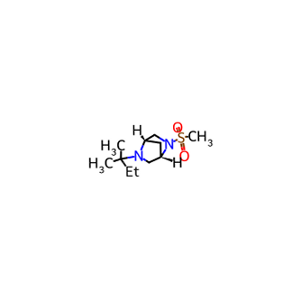 CCC(C)(C)N1C[C@@H]2C[C@H]1CN2S(C)(=O)=O